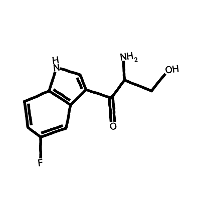 NC(CO)C(=O)c1c[nH]c2ccc(F)cc12